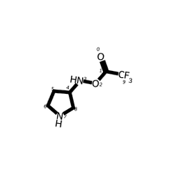 O=C(ONC1CCNC1)C(F)(F)F